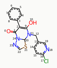 O=C1C(c2ccccc2)=C(O)N(Cc2ccc(Cl)nc2)C2SC=NN12